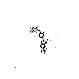 Cc1cc(OCc2ccc(C(F)(F)F)cc2C(F)(F)F)ccc1C=C1SC(=O)NC1=S